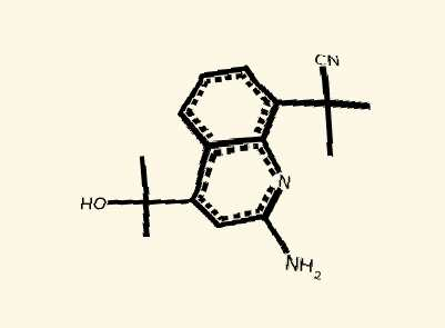 CC(C)(O)c1cc(N)nc2c(C(C)(C)C#N)cccc12